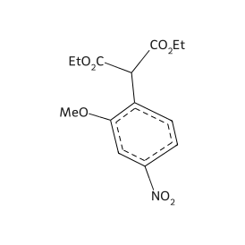 CCOC(=O)C(C(=O)OCC)c1ccc([N+](=O)[O-])cc1OC